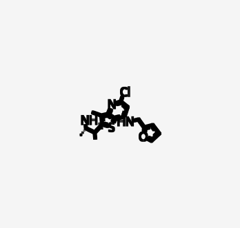 Cc1c(C(C)[C@H](C)N)sc2c(NCc3ccco3)cc(Cl)nc12